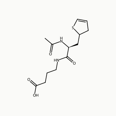 CC(=O)N[C@@H](CC1CC=CS1)C(=O)NCCCC(=O)O